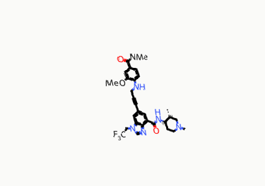 CNC(=O)c1ccc(NCC#Cc2cc(C(=O)N[C@@H]3CCN(C)C[C@H]3C)c3ncn(CC(F)(F)F)c3c2)c(OC)c1